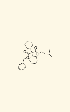 CC(C)CCOC(=O)C(C(=O)OCc1ccccc1)(C1CCCCC1)C1CCCCC1